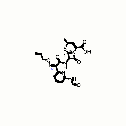 C=CCO/N=C(\C(=O)NC1C(=O)N2C(C(=O)O)=CC(C)S[C@H]12)c1cccc(NC=O)n1